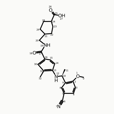 COc1ccc(C#N)cc1[C@H](C)Nc1ccc(C(=O)NCC2CCC(C(=O)O)CC2)cc1C